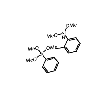 CO[SiH](OC)c1ccccc1C.CO[Si](OC)(OC)c1ccccc1